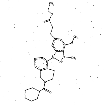 CCOC(=O)CCc1cc(OC)c2c(c1)N(c1cccc3c1CCN(C(=O)C1CCCCC1)C3)NN2C